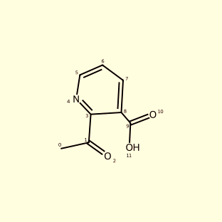 CC(=O)c1ncccc1C(=O)O